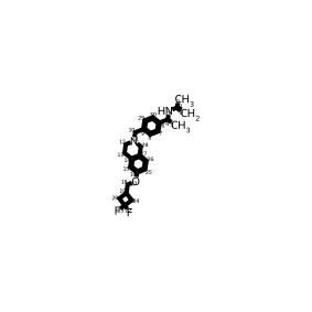 C=C(C)NC(C)c1ccc(CN2CCc3cc(OCC4CC(F)(F)C4)ccc3C2)cc1